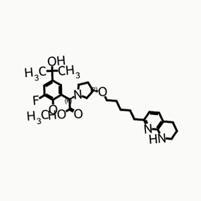 COc1c(F)cc(C(C)(C)O)cc1[C@H](C(=O)O)N1CC[C@@H](OCCCCCc2ccc3c(n2)NCCC3)C1